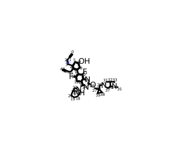 C#C/C=C\c1cc(O)cc(-c2c(F)cc3c(N4CC5CCC(C4)N5)nc(OCC4(CN5CC6CN(C)C6C5)CC4)nc3c2F)c1CC#C